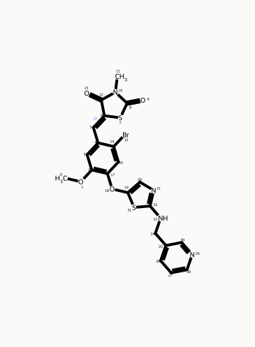 COc1cc(/C=C2\SC(=O)N(C)C2=O)c(Br)cc1Oc1cnc(NCc2cccnc2)s1